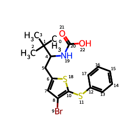 CC(C)(C)C(Cc1cc(Br)c(Sc2ccccc2)s1)NC(=O)O